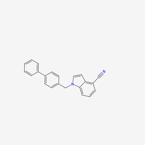 N#Cc1cccc2c1ccn2Cc1ccc(-c2ccccc2)cc1